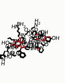 BNCCCC[C@H](NC(=O)[C@H](CCCC)N(C)C(=O)[C@H](CCCC)N(C)C(=O)[C@H](Cc1cn(CC(=O)O)c2ccccc12)NC(=O)[C@H](CO)NC(=O)[C@H](Cc1c[nH]c2ccccc12)NC)C(=O)N[C@@H](CSCC(=O)N[C@@H](Cc1ccc(O)cc1)C(=O)N(C)[C@@H](C)C(=O)N[C@@H](CC(N)=O)C(=O)N1CCC[C@H]1C(=O)N[C@@H](Cc1cnc[nH]1)C(=O)N[C@@H](CCC(=O)O)C(=O)N1CCC[C@H]1C=O)C(=O)NCC(N)=O